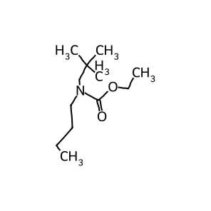 CCCCN(CC(C)(C)C)C(=O)OCC